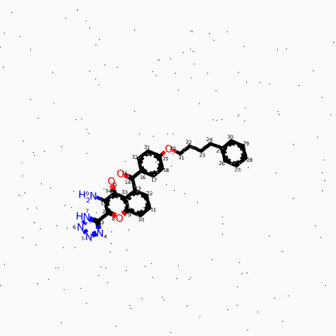 Nc1c(-c2nnn[nH]2)oc2cccc(C(=O)c3ccc(OCCCCc4ccccc4)cc3)c2c1=O